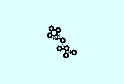 c1ccc(-n2c3ccccc3c3c4c5ccccc5n(-c5cccc(-c6cnc7c(n6)-c6ccccc6-c6ccccc6-c6ccccc6-7)c5)c4ccc32)cc1